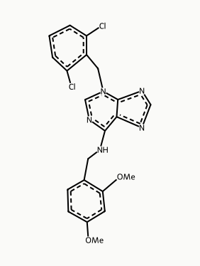 COc1ccc(CNc2ncn(Cc3c(Cl)cccc3Cl)c3ncnc2-3)c(OC)c1